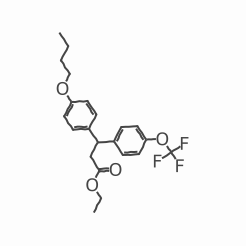 CCCCOc1ccc(C(CC(=O)OCC)c2ccc(OC(F)(F)F)cc2)cc1